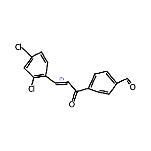 O=Cc1ccc(C(=O)/C=C/c2ccc(Cl)cc2Cl)cc1